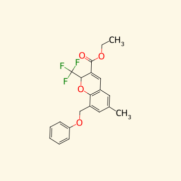 CCOC(=O)C1=Cc2cc(C)cc(COc3ccccc3)c2OC1C(F)(F)F